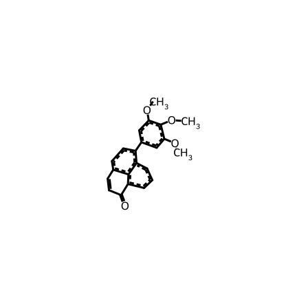 COc1cc(-c2ccc3c4c(cccc24)C(=O)C=C3)cc(OC)c1OC